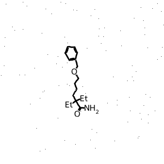 CCC(CC)(CCCCOCc1ccccc1)C(N)=O